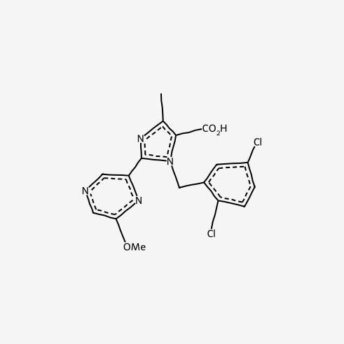 COc1cncc(-c2nc(C)c(C(=O)O)n2Cc2cc(Cl)ccc2Cl)n1